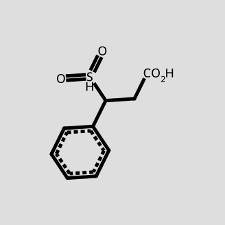 O=C(O)CC(c1ccccc1)[SH](=O)=O